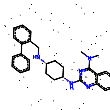 CN(C)c1nc(N[C@H]2CC[C@@H](NCc3ccccc3-c3ccccc3)CC2)nc2ccccc12